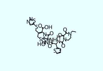 CCN1CCN(C(=O)NC(C(=O)N[C@]2(NO)C(=O)N3C(C(=O)O)=C(CSc4cnns4)CS[C@H]32)c2cccs2)C(=O)C1=O